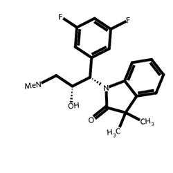 CNC[C@@H](O)[C@H](c1cc(F)cc(F)c1)N1C(=O)C(C)(C)c2ccccc21